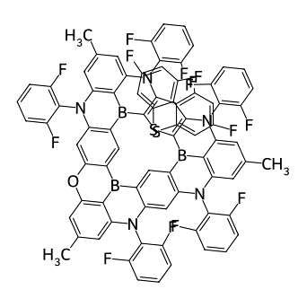 Cc1cc2c3c(c1)N(c1c(F)cccc1F)c1cc4c(cc1B3c1cc3c(cc1O2)N(c1c(F)cccc1F)c1cc(C)cc2c1B3c1sc3cc(F)cc(F)c3c1N2c1c(F)cccc1F)B1c2sc3cc(F)cc(F)c3c2N(c2c(F)cccc2F)c2cc(C)cc(c21)N4c1c(F)cccc1F